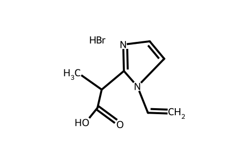 Br.C=Cn1ccnc1C(C)C(=O)O